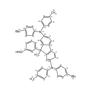 CCCCCCc1cccc(C2(C)c3cc(N(c4ccc(C)cc4)c4ccc(C(C)(C)C)cc4)ccc3-c3ccc(N(c4ccc(C)cc4)c4ccc(C(C)(C)C)cc4)cc32)c1